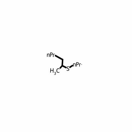 CC[CH]SC(C)CCCC